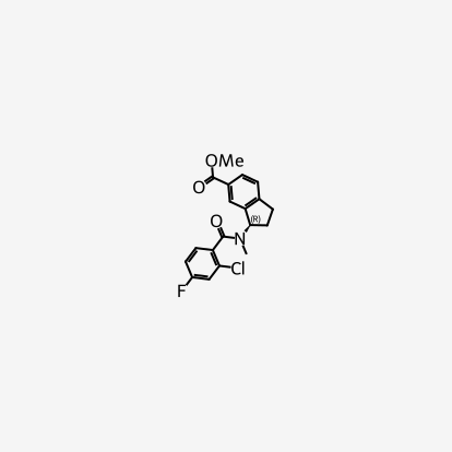 COC(=O)c1ccc2c(c1)[C@H](N(C)C(=O)c1ccc(F)cc1Cl)CC2